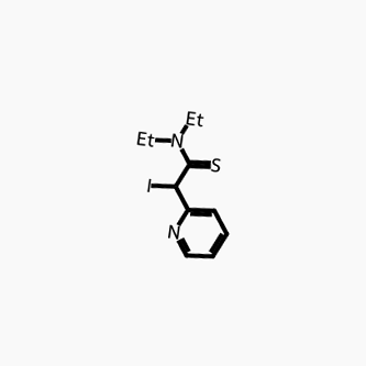 CCN(CC)C(=S)C(I)c1ccccn1